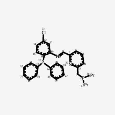 CC(C)P(Cc1cccc(C=Nc2cc(Cl)ccc2P(c2ccccc2)c2ccccc2)n1)C(C)C